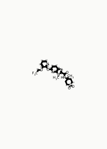 Cn1c(C(=O)NC2(C)CCS(=O)(=O)CC2)nc2ccc(Oc3ncccc3OCC(F)(F)F)nc21